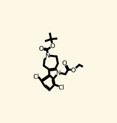 CCOC(=O)Cn1c2c(c3c(Cl)ccc(Cl)c31)CCN(C(=O)OC(C)(C)C)CC2